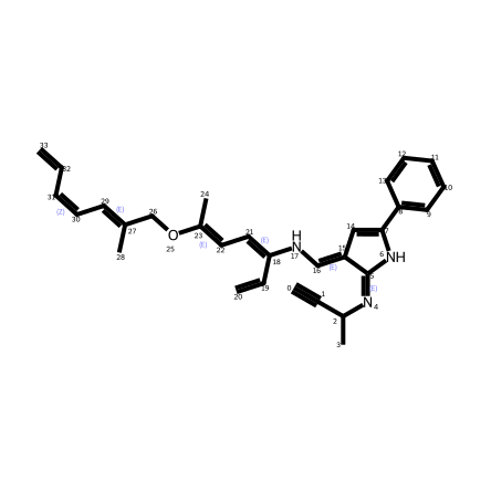 C#CC(C)/N=C1/NC(c2ccccc2)=C/C1=C\N/C(C=C)=C/C=C(\C)OC/C(C)=C/C=C\C=C